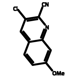 COc1ccc2cc(Cl)c(C#N)nc2c1